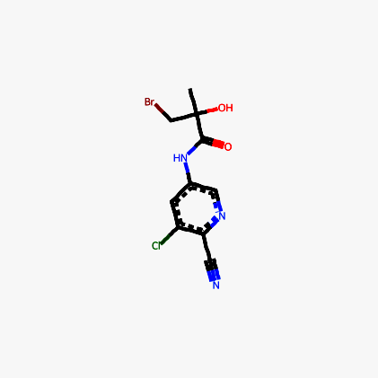 CC(O)(CBr)C(=O)Nc1cnc(C#N)c(Cl)c1